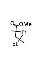 CCC(C)(C)CC(C)(C(=O)OC)C(C)C